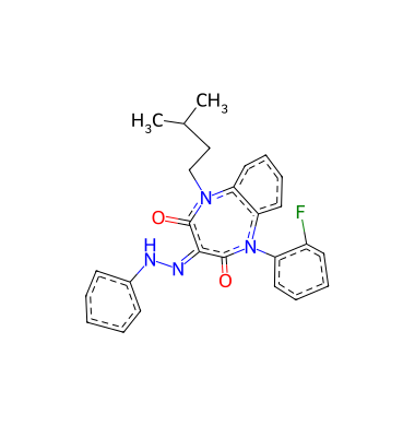 CC(C)CCn1c(=O)c(=NNc2ccccc2)c(=O)n(-c2ccccc2F)c2ccccc21